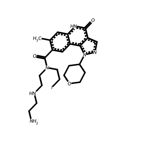 Cc1cc2[nH]c(=O)c3cnn(C4CCOCC4)c3c2cc1C(=O)N(CCI)CCNCCN